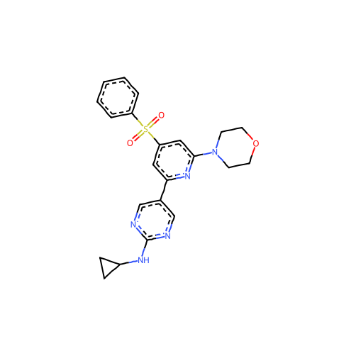 O=S(=O)(c1ccccc1)c1cc(-c2cnc(NC3CC3)nc2)nc(N2CCOCC2)c1